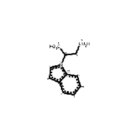 O=C(O)CC(C(=O)O)n1ccc2ccccc21